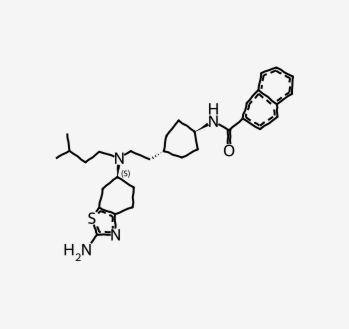 CC(C)CCN(CC[C@H]1CC[C@H](NC(=O)c2ccc3ccccc3c2)CC1)[C@H]1CCc2nc(N)sc2C1